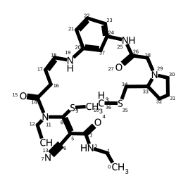 CCNC(=O)/C(C#N)=C(\SC)N(CC)C(=O)C/C=C\Nc1cccc(NC(=O)CN2CCCC2CSC)c1